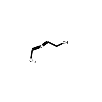 CC=C=CCO